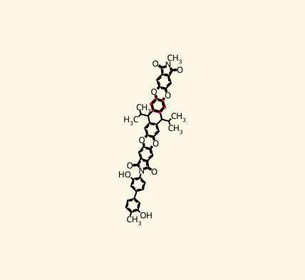 Cc1ccc(-c2ccc(-n3c(=O)c4cc5oc6cc7c(cc6oc5cc4c3=O)C3(C(C)C)c4ccccc4C7(C(C)C)c4cc5oc6cc7c(=O)n(C)c(=O)c7cc6oc5cc43)c(O)c2)cc1O